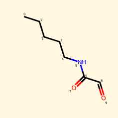 CC[CH]CCNC(=O)C=O